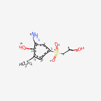 Nc1cc(S(=O)(=O)CCO)cc(S(=O)(=O)O)c1O